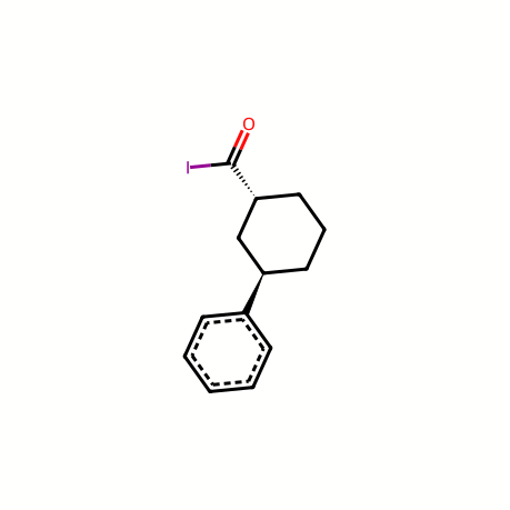 O=C(I)[C@@H]1CCC[C@@H](c2ccccc2)C1